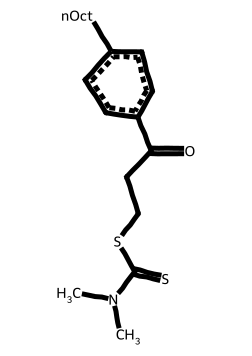 CCCCCCCCc1ccc(C(=O)CCSC(=S)N(C)C)cc1